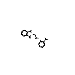 NC(=O)c1ccccc1NC(=O)CN1C(=O)c2ccccc2C1=O